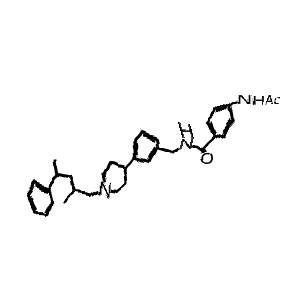 CC(=O)Nc1ccc(C(=O)NCc2cccc(C3CCN(CC(C)CC(C)c4ccccc4)CC3)c2)cc1